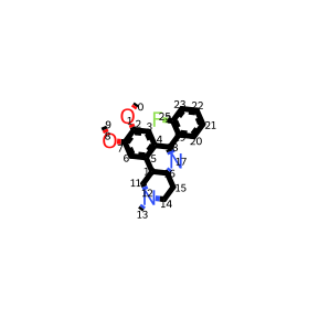 COc1cc2c(cc1OC)C1CN(C)CCC1N=C2c1ccccc1F